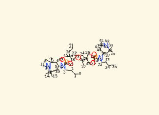 CCCCN(C1CC(C)(C)N(C)C(C)(C)C1)P1OCC(CC)(COCC2(CC)COP(N(CCCC)C3CC(C)(C)N(C)C(C)(C)C3)OC2)CO1